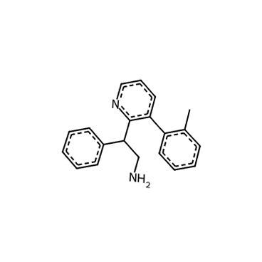 Cc1ccccc1-c1cccnc1C(CN)c1ccccc1